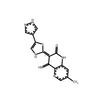 Cc1cnc2c(c1)NC(=O)/C(=C1/NC=C(c3cn[nH]c3)S1)C2=N